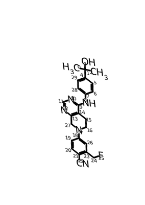 CC(C)(O)c1ccc(Nc2ncnc3c2CCN(c2ccc(C#N)c(CF)c2)C3)cc1